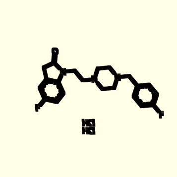 Cl.Cl.O=C1Cc2cc(F)ccc2N1CCN1CCN(Cc2ccc(F)cc2)CC1